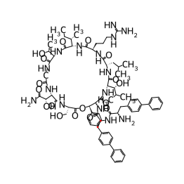 CC[C@H](C)[C@@H]1NC(=O)[C@@H](CCCNC(=N)N)NC(=O)[C@H](CC(C)C)NC(=O)[C@H]([C@H](O)C(C)C)NC(=O)[C@@H](NC(=O)[C@H](Cc2ccc(-c3ccccc3)cc2)NC(=O)[C@H](N)Cc2ccc(-c3ccccc3)cc2)[C@@H](c2ccccc2)OC(=O)[C@H](CO)NC(=O)[C@H]([C@H](O)C(N)=O)NC(=O)CNC(=O)[C@H]([C@H](C)O)NC1=O